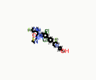 O=C(Nc1nccs1)C(c1ncn2c1CC(F)C2)n1cc2c(Cl)cc(-c3ccc([C@H]4CCN(C5CC(O)C5)C[C@@H]4F)cc3)c(Cl)c2n1